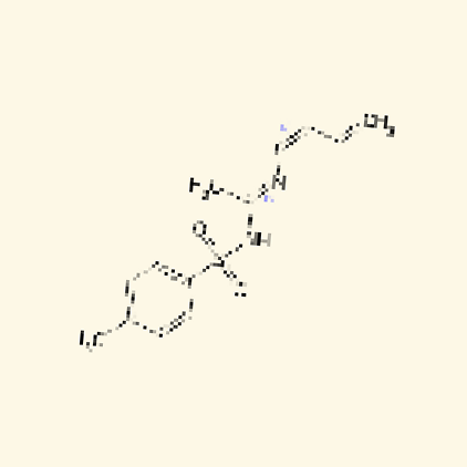 C=C/C=C\N=C(/C)NS(=O)(=O)c1ccc(C)cc1